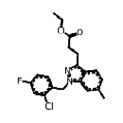 CCOC(=O)CCc1nn(Cc2ccc(F)cc2Cl)c2cc(C)ccc12